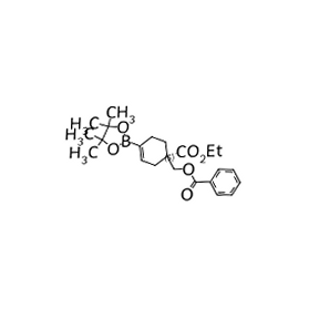 CCOC(=O)[C@]1(COC(=O)c2ccccc2)CC=C(B2OC(C)(C)C(C)(C)O2)CC1